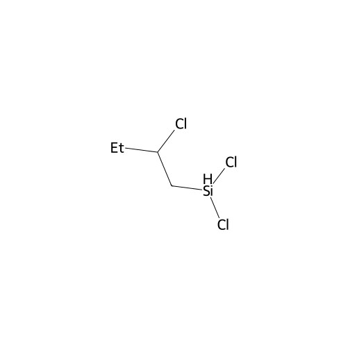 CCC(Cl)C[SiH](Cl)Cl